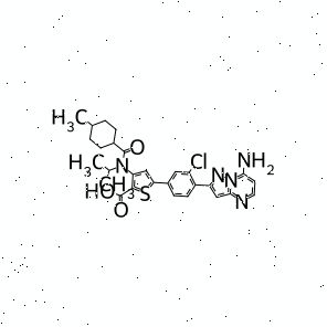 CC1CCC(C(=O)N(c2cc(-c3ccc(-c4cc5nccc(N)n5n4)c(Cl)c3)sc2C(=O)O)C(C)C)CC1